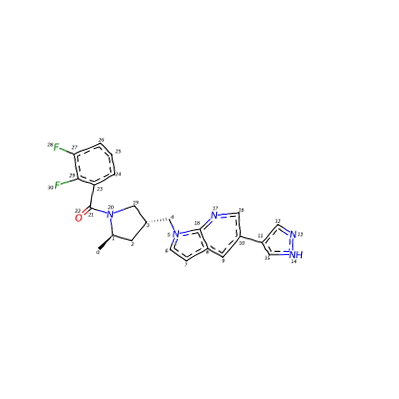 C[C@@H]1C[C@@H](Cn2ccc3cc(-c4cn[nH]c4)cnc32)CN1C(=O)c1cccc(F)c1F